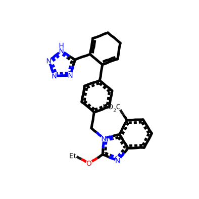 CCOc1nc2cccc(C(=O)O)c2n1Cc1ccc(C2=CCCC=C2c2nnn[nH]2)cc1